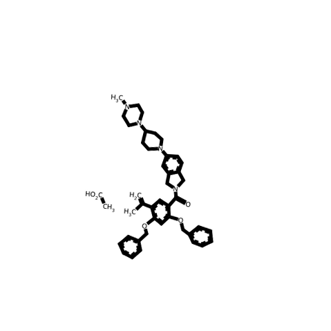 C=C(C)c1cc(C(=O)N2Cc3ccc(N4CCC(N5CCN(C)CC5)CC4)cc3C2)c(OCc2ccccc2)cc1OCc1ccccc1.CC(=O)O